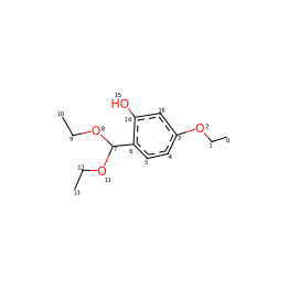 CCOc1ccc(C(OCC)OCC)c(O)c1